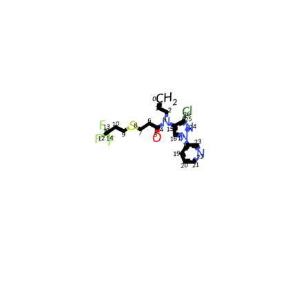 C=CCN(C(=O)CCSCCC(F)(F)F)c1cn(-c2cccnc2)nc1Cl